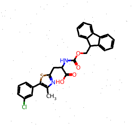 Cc1nc(CC(NC(=O)OCC2c3ccccc3-c3ccccc32)C(=O)O)sc1-c1cccc(Cl)c1